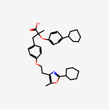 Cc1oc(C2CCCCC2)nc1CCOc1ccc(CC(C)(Oc2ccc(C3CCCCC3)cc2)C(=O)O)cc1